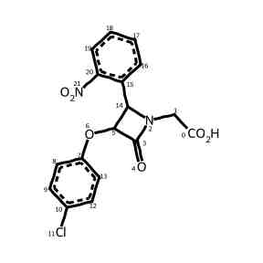 O=C(O)CN1C(=O)C(Oc2ccc(Cl)cc2)C1c1ccccc1[N+](=O)[O-]